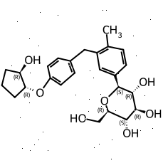 Cc1ccc([C@@H]2O[C@H](CO)[C@@H](O)[C@H](O)[C@H]2O)cc1Cc1ccc(O[C@@H]2CCC[C@H]2O)cc1